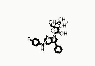 COC[C@]1(CO)O[C@@H](n2cc(-c3ccccc3)c3c2N=CN(Nc2ccc(F)cc2)C3)[C@@H](O)[C@H]1O